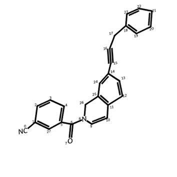 N#Cc1cccc(C(=O)N2C=Cc3ccc(C#CCc4ccccc4)cc3C2)c1